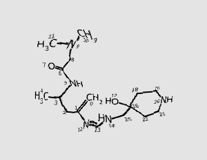 C=C(CC(C)NC(=O)CN(C)C)/N=C\NCC1(O)CCNCC1